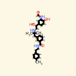 Cc1ccc(CCNC(=O)c2cccc(CC(C)(C)NC[C@H](O)c3ccc(O)c(NC=O)c3)c2)cc1